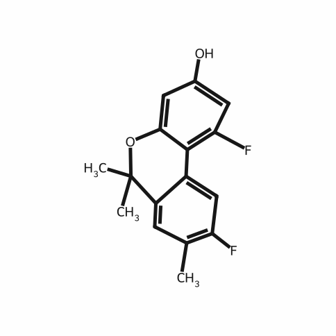 Cc1cc2c(cc1F)-c1c(F)cc(O)cc1OC2(C)C